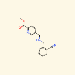 COC(=O)c1ccc(CNCc2ccccc2C#N)cn1